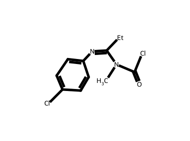 CCC(=Nc1ccc(Cl)cc1)N(C)C(=O)Cl